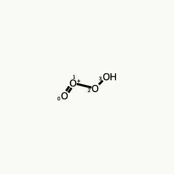 O=[O+]OO